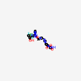 O=C1CCC(N2Cc3cc(N4CCN(CC5CCN(CC6(COc7nc(N8CC9CCC(C8)N9)c8cnc(-c9cc(O)cc%10ccc(F)c(Cl)c9%10)c(F)c8n7)CC6)CC5)CC4)ccc3C2=O)C(=O)N1